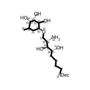 CCCCCCCCCCCCCC[C@@H](O)[C@@H](O)[C@@H](N)CO[C@H]1CC(C)[C@H](O)[C@H](O)C1O